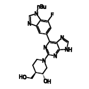 CCCCn1cnc2cc(-c3nc(N4CC[C@H](CO)[C@@H](O)C4)nc4[nH]cnc34)cc(F)c21